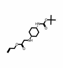 C=CCOC(=O)CN[C@H]1CC[C@H](NC(=O)OC(C)(C)C)CC1